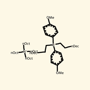 CCCCCCCCCCCC[B-](CCCCCCCCCCCC)(c1ccc(OC)cc1)c1ccc(OC)cc1.CCCCCCCC[N+](CCCCCCCC)(CCCCCCCC)CCCCCCCC